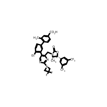 CCc1ccc(-c2ccc(C(=O)O)cc2C)cc1-c1cnc(N2CC(F)(F)C2)nc1CN1C(=O)O[C@H](c2cc(C(F)(F)F)cc(C(F)(F)F)c2)[C@@H]1C